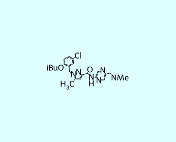 CNCc1cnc(NC(=O)c2cc(C)n(Cc3cc(Cl)ccc3OCC(C)C)n2)cn1